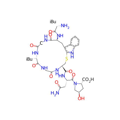 CC[C@H](C)[C@H](N)C(=O)N[C@H]1Cc2c([nH]c3ccccc23)SC[C@@H](C(=O)N[C@@H](CC(N)=O)C(=O)N2C[C@H](O)C[C@H]2C(=O)O)NC(=O)CNC(=O)[C@H]([C@@H](C)CC)NC(=O)CNC1=O